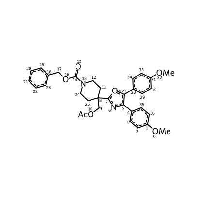 COc1ccc(-c2nc(C3(COC(C)=O)CCN(C(=O)OCc4ccccc4)CC3)oc2-c2ccc(OC)cc2)cc1